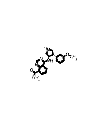 COc1cccc([C@H]2CNC[C@@H]2Nc2ncnc3c(C(N)=O)cccc23)c1